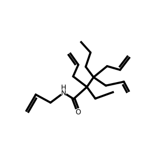 C=CCNC(=O)C(CC)(CC=C)C(CC=C)(CC=C)CCC